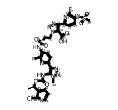 C[C@@H](OC(=O)Nc1c(-c2ccc(NS(=O)(=O)CCn3nnc(-c4ccc(NS(C)(=O)=O)c(F)n4)c3C(=O)O)c(F)n2)nnn1C)c1cccnc1Cl